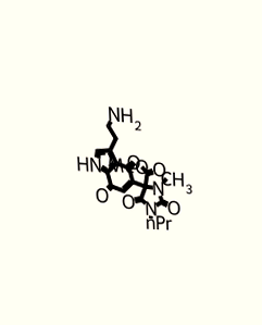 CCCN1C(=O)N(C)C(C(=O)OC)(C2=CC(=O)c3[nH]cc(CCN)c3C2=O)C1=O